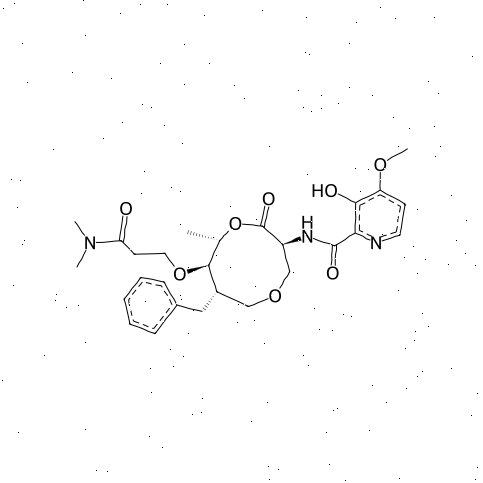 COc1ccnc(C(=O)N[C@H]2COC[C@H](Cc3ccccc3)[C@@H](OCCC(=O)N(C)C)[C@H](C)OC2=O)c1O